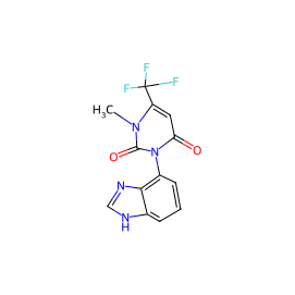 Cn1c(C(F)(F)F)cc(=O)n(-c2cccc3[nH]cnc23)c1=O